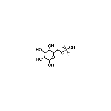 O=S(=O)(O)OC[C@H]1OC(O)[C@H](O)[C@@H](O)[C@@H]1O